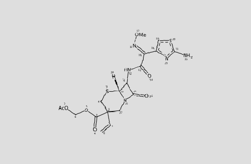 C=CC1(C(=O)OCOC(C)=O)CS[C@@H]2C(NC(=O)C(=NOC)c3csc(N)n3)C(=O)N2C1